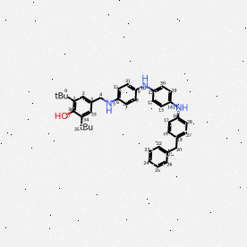 CC(C)(C)c1cc(CNc2ccc(Nc3ccc(Nc4ccc(Cc5ccccc5)cc4)cc3)cc2)cc(C(C)(C)C)c1O